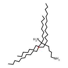 CCCCCCCCCCCCC(CCCCN)(CCCCCCCCCCCC)C(N)(CCCCCCCC)CCCCCCCC